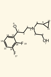 [O]C(CCN(CCO)CC1CC1)c1cccc(F)c1F